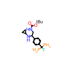 CC(C)(C)OC(=O)NCC(NC1CC1)c1ccc(C(F)(P)P)cc1